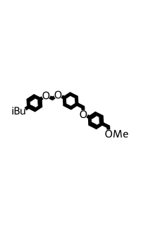 CCC(C)c1ccc(OCOC2CCC(COc3ccc(COC)cc3)CC2)cc1